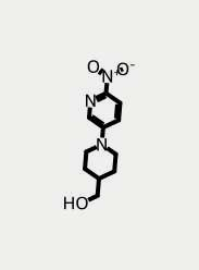 O=[N+]([O-])c1ccc(N2CCC(CO)CC2)cn1